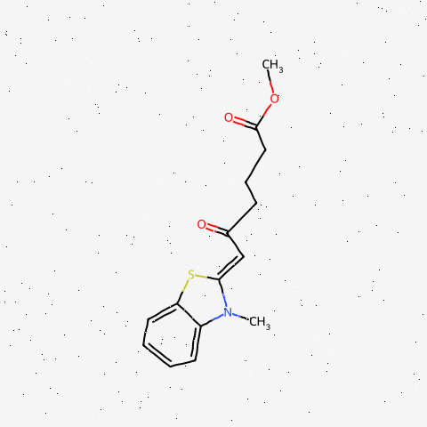 COC(=O)CCCC(=O)/C=C1\Sc2ccccc2N1C